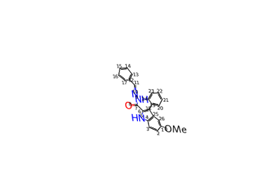 COc1ccc2[nH]c(C(=O)NN=Cc3ccccc3)c(-c3ccccc3)c2c1